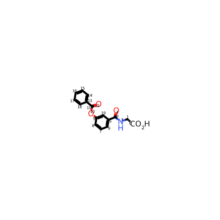 O=C(O)CNC(=O)c1cccc(OC(=O)c2ccccc2)c1